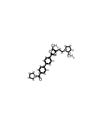 Cc1oc(-c2ccc(-c3ccc(C(=O)N4CCCC4)cc3)cc2)nc1CCN1CCC[C@H]1C